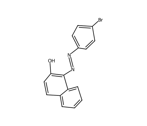 Oc1ccc2ccccc2c1/N=N/c1ccc(Br)cc1